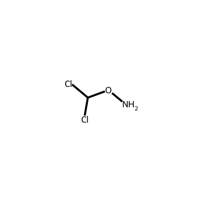 NOC(Cl)Cl